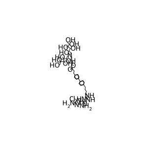 N=C(NCCCCc1ccc(-c2ccc(CCC(=O)OCCCCN(CC(O)C(O)C(O)C(O)CO)CC(O)C(O)C(O)C(O)CO)cc2)cc1)NC(=O)c1nc(Cl)c(N)nc1N